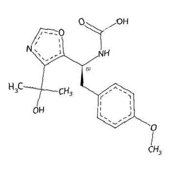 COc1ccc(C[C@H](NC(=O)O)c2ocnc2C(C)(C)O)cc1